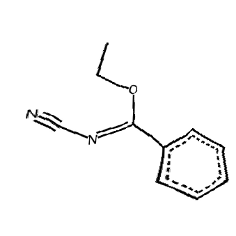 CCO/C(=N\C#N)c1ccccc1